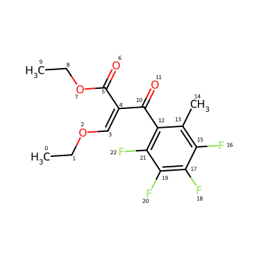 CCOC=C(C(=O)OCC)C(=O)c1c(C)c(F)c(F)c(F)c1F